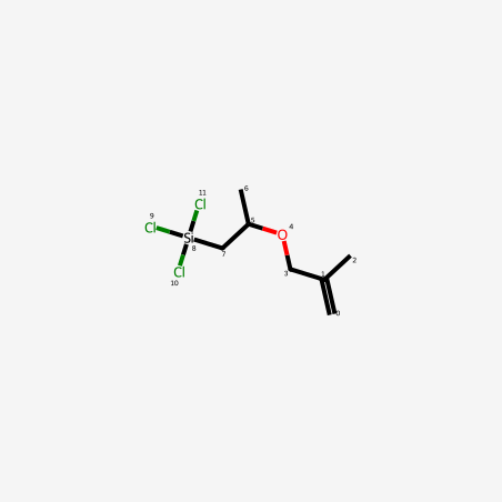 C=C(C)COC(C)C[Si](Cl)(Cl)Cl